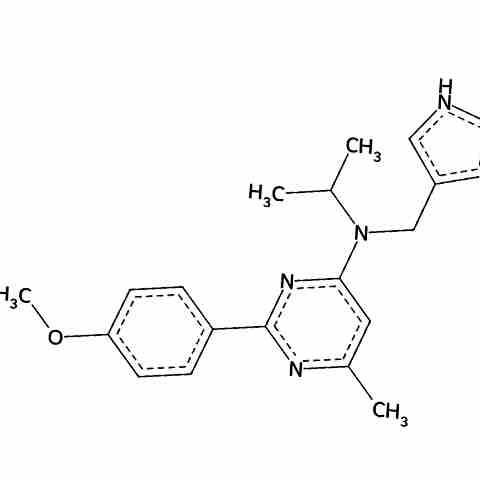 COc1ccc(-c2nc(C)cc(N(Cc3c[nH]cn3)C(C)C)n2)cc1